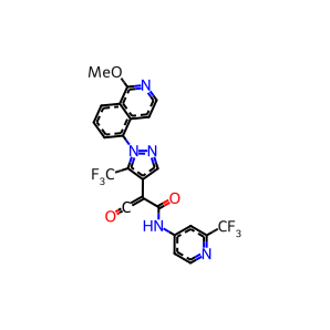 COc1nccc2c(-n3ncc(C(=C=O)C(=O)Nc4ccnc(C(F)(F)F)c4)c3C(F)(F)F)cccc12